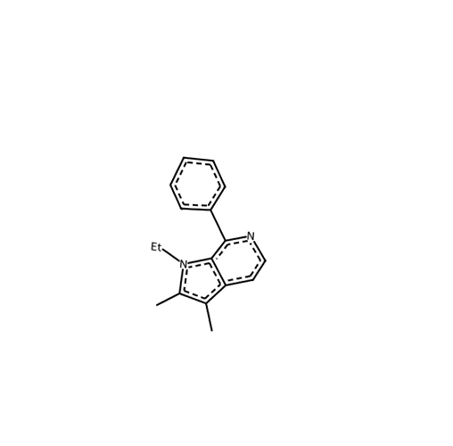 CCn1c(C)c(C)c2ccnc(-c3ccccc3)c21